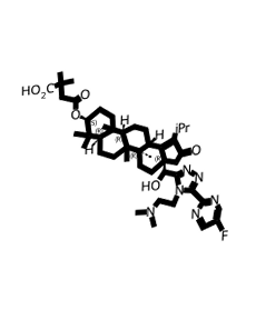 CC(C)C1=C2[C@H]3CC[C@@H]4C5(C)CC[C@H](OC(=O)CC(C)(C)C(=O)O)C(C)(C)[C@@H]5CCC4(C)[C@]3(C)CC[C@@]2(C(O)c2nnc(-c3ncc(F)cn3)n2CCN(C)C)CC1=O